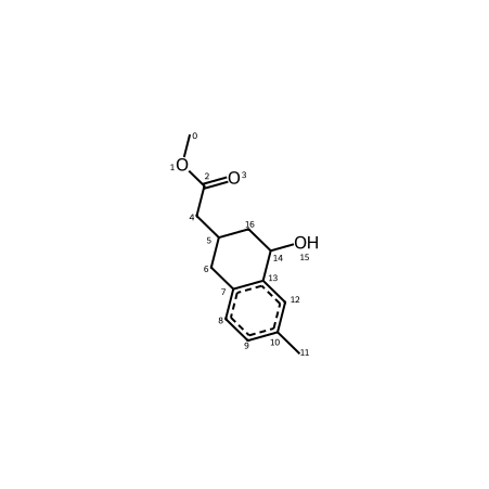 COC(=O)CC1Cc2ccc(C)cc2C(O)C1